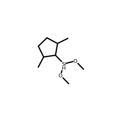 CO[SiH](OC)C1C(C)CCC1C